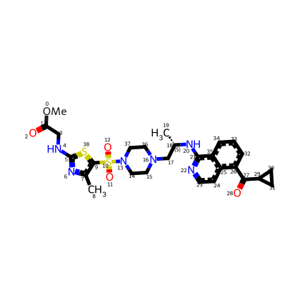 COC(=O)CNc1nc(C)c(S(=O)(=O)N2CCN(C[C@H](C)Nc3nccc4c(C(=O)C5CC5)cccc34)CC2)s1